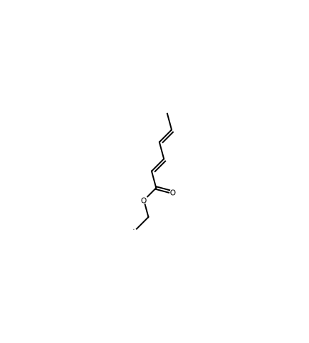 [CH2]COC(=O)/C=C/C=C/C